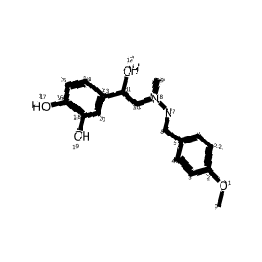 COc1ccc(C[N]N(C)CC(O)c2ccc(O)c(O)c2)cc1